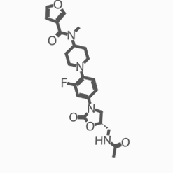 CC(=O)NC[C@H]1CN(c2ccc(N3CCC(N(C)C(=O)c4ccoc4)CC3)c(F)c2)C(=O)O1